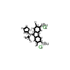 Cc1cc2c(cc1C(C)(C)C)-c1cc(C(C)(C)C)c(C)cc1[CH]2[Zr+2]([C]1=CC=CC1)=[Si](C)C.[Cl-].[Cl-]